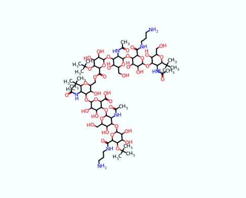 CC(=O)NC1C(OC2C(C(=O)O)OC(OC3C(O)C(COC(=O)C4OC(OC5C(O)C(CO)OC(OC6C(C(=O)NCCCN)OC(OC7C(O)C(CO)OC(C(C)(C)C)C7NC(C)=O)C(O)C6O)C5NC(C)=O)C(O)C(O)C4OC(C)(C)C)OC(C(C)(C)C)C3NC(C)=O)C(O)C2O)OC(CO)C(O)C1OC1OC(C(=O)NCCCN)C(OC(C)(C)C)C(O)C1O